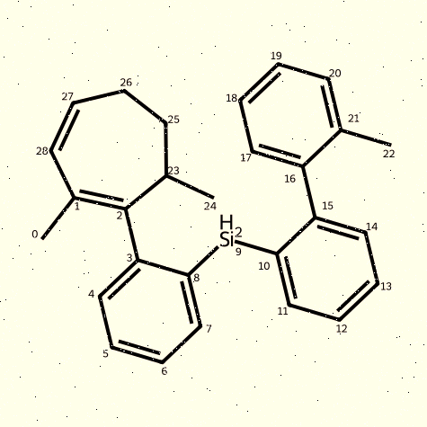 CC1=C(c2ccccc2[SiH2]c2ccccc2-c2ccccc2C)C(C)CCC=C1